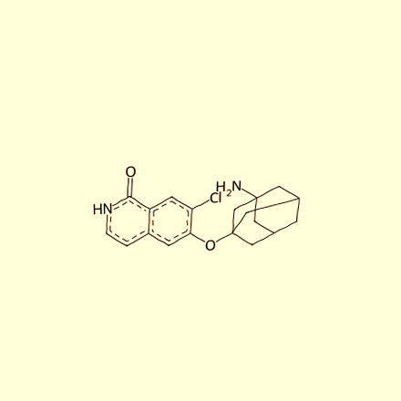 NC12CC3CC(C1)CC(Oc1cc4cc[nH]c(=O)c4cc1Cl)(C3)C2